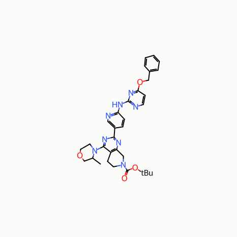 CC1COCCN1c1nc(-c2ccc(Nc3nccc(OCc4ccccc4)n3)nc2)nc2c1CCN(C(=O)OC(C)(C)C)C2